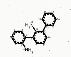 Nc1ccccc1-c1cccc(-c2ccccc2)c1N